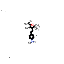 CCN(CC)c1ccc(/C=C/C2=C(C#N)C(=C(C#N)C#N)OC2(C)C)cc1